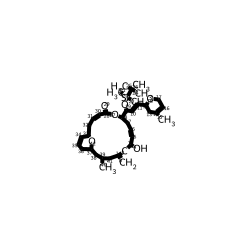 C=C1CC(O)/C=C\CC(C(/C=C/C2CC(C)=CCO2)O[Si](C)(C)C(C)(C)C)OC(=O)/C=C\CC2C=CCC(CC(C)C1)O2